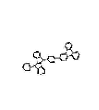 c1ccc(-n2c3ccccc3c3c2c2ccccc2n3-c2ccc(-c3ccc4c5ccccc5c5ccccc5c4c3)cc2)cc1